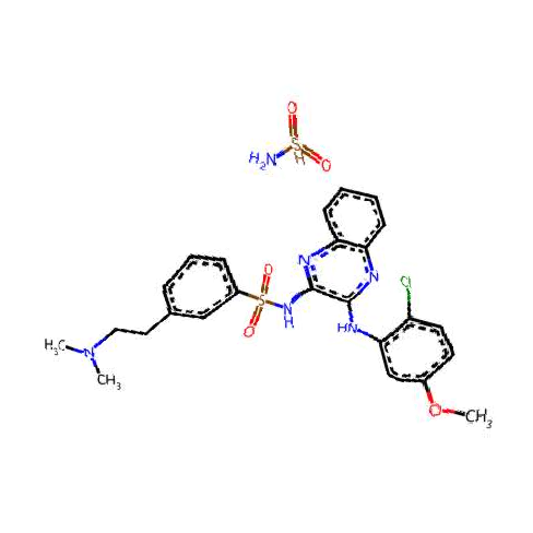 COc1ccc(Cl)c(Nc2nc3ccccc3nc2NS(=O)(=O)c2cccc(CCN(C)C)c2)c1.N[SH](=O)=O